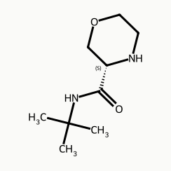 CC(C)(C)NC(=O)[C@@H]1COCCN1